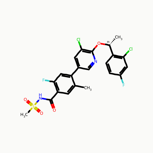 Cc1cc(C(=O)NS(C)(=O)=O)c(F)cc1-c1cnc(O[C@H](C)c2ccc(F)cc2Cl)c(Cl)c1